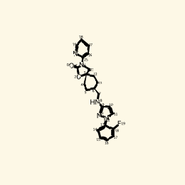 O=C1O[C@]2(CC[C@H](CNc3ccn(-c4ccccc4F)n3)CC2)CN1c1ccccn1